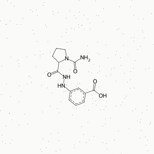 NC(=O)N1CCCC1C(=O)NNc1cccc(C(=O)O)c1